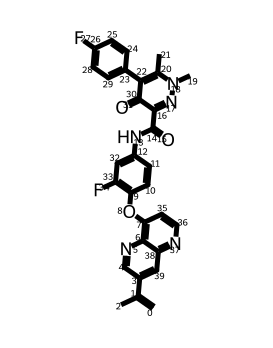 C=C(C)c1cnc2c(Oc3ccc(NC(=O)c4nn(C)c(C)c(-c5ccc(F)cc5)c4=O)cc3F)ccnc2c1